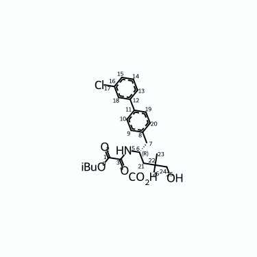 CC(C)COC(=O)C(=O)N[C@H](Cc1ccc(-c2cccc(Cl)c2)cc1)CC(C)(CO)C(=O)O